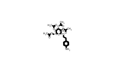 CC(=O)N[C@H]1[C@H](OCCc2ccc(N)cc2)O[C@H](COC(C)=O)[C@H](OC(C)=O)[C@@H]1OC(C)=O